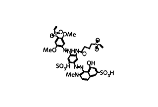 C=CS(=O)(=O)CCCC(=O)Nc1cc(/N=N/c2c(NC)ccc3cc(S(=O)(=O)O)cc(O)c23)c(S(=O)(=O)O)cc1/N=N/c1cc(OC)c(S(=O)(=O)C=C)cc1OC